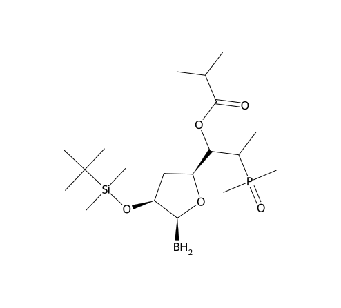 B[C@@H]1O[C@H](C(OC(=O)C(C)C)C(C)P(C)(C)=O)C[C@@H]1O[Si](C)(C)C(C)(C)C